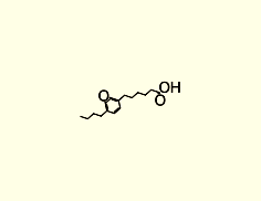 CCCCc1ccc(CCCCCC(=O)O)c2c1O2